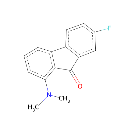 CN(C)c1cccc2c1C(=O)c1cc(F)ccc1-2